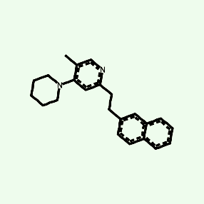 Cc1cnc(CCc2ccc3ccccc3c2)cc1N1CCCCC1